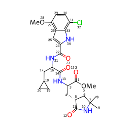 COC(=O)C(C[C@@H]1CC(C)(C)NC1=O)NC(=O)C(CC1CC1)NC(=O)c1cc2c(OC)ccc(Cl)c2[nH]1